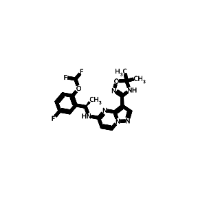 C[C@@H](Nc1ccn2ncc(C3=NOC(C)(C)N3)c2n1)c1cc(F)ccc1OC(F)F